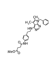 COC(=O)CCC(=O)Nc1ccc(CCNc2ncnc3c2c(C)c(C)n3Cc2ccccc2)cc1